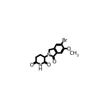 COc1cc2c(cc1Br)CN(C1CCC(=O)NC1=O)C2=O